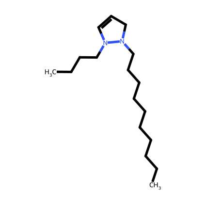 CCCCCCCCCCN1CC=CN1CCCC